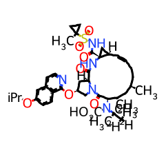 [2H]C([2H])([2H])C(C)(C)N(C(=O)O)[C@@H]1C(=O)N2C[C@H](Oc3nccc4cc(OC(C)C)ccc34)C[C@H]2C(=O)N[C@]2(C(=O)NS(=O)(=O)C3(C)CC3)C[C@H]2/C=C\CC[C@@H](C)C[C@H]1C